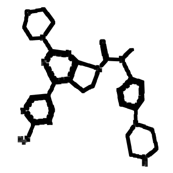 CN(C(=O)N1CCc2c(-c3cnc(N)nc3)nc(N3CCOCC3)nc21)c1ccc(N2CCNCC2)cc1